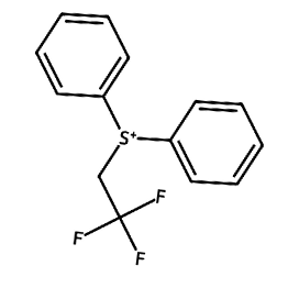 FC(F)(F)C[S+](c1ccccc1)c1ccccc1